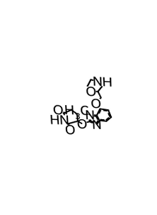 Cn1c(OC2CCC(=O)NC2=O)nc2cccc(OCC3CNCCO3)c21